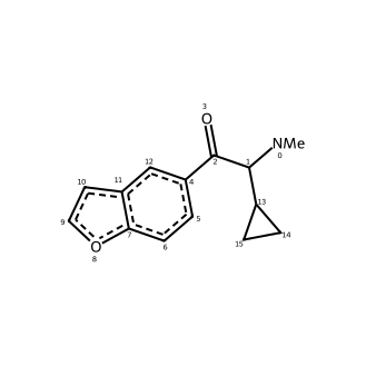 CNC(C(=O)c1ccc2occc2c1)C1CC1